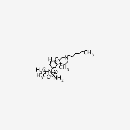 CCCCCCN1CC[C@](C)(c2cccc(N(C(C)C)S(N)(=O)=O)c2)[C@@H](C)C1